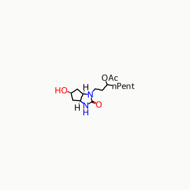 CCCCCC(CCN1C(=O)N[C@H]2C[C@@H](O)C[C@H]21)OC(C)=O